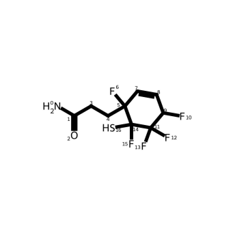 NC(=O)CCC1(F)C=CC(F)C(F)(F)C1(F)S